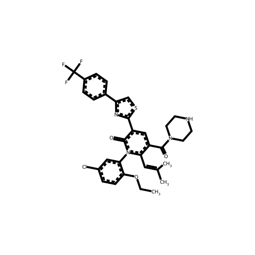 CCOc1ccc(Cl)cc1-n1c(C=C(C)C)c(C(=O)N2CCNCC2)cc(-c2nc(-c3ccc(C(F)(F)F)cc3)cs2)c1=O